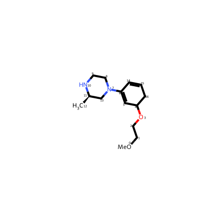 COCCOC1C=C(N2CCN[C@H](C)C2)C=CC1